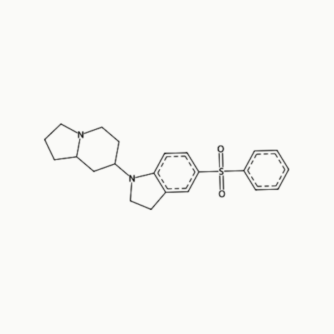 O=S(=O)(c1ccccc1)c1ccc2c(c1)CCN2C1CCN2CCCC2C1